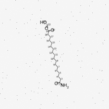 NC(=O)CCCCCCCCCCCCCCCCC(=O)OCO